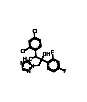 CC(c1ccc(Cl)cc1Cl)C(O)(Cn1cncn1)c1ccc(F)cc1F